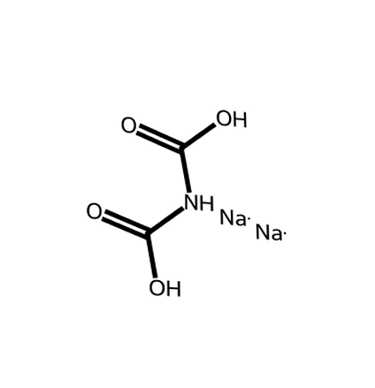 O=C(O)NC(=O)O.[Na].[Na]